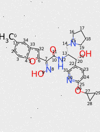 Cc1ccc2oc(/C(=N\O)C(=O)N[C@H](CN3CCCC3)[C@H](O)c3ccc(OC4CC4)nc3)cc2c1